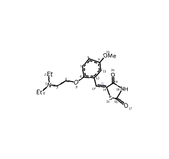 CCN(CC)CCOc1ccc(OC)cc1/C=C1/SC(=O)NC1=O